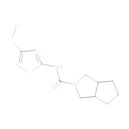 CCSc1nsc(NC(=O)N2CC3CCCC3C2)n1